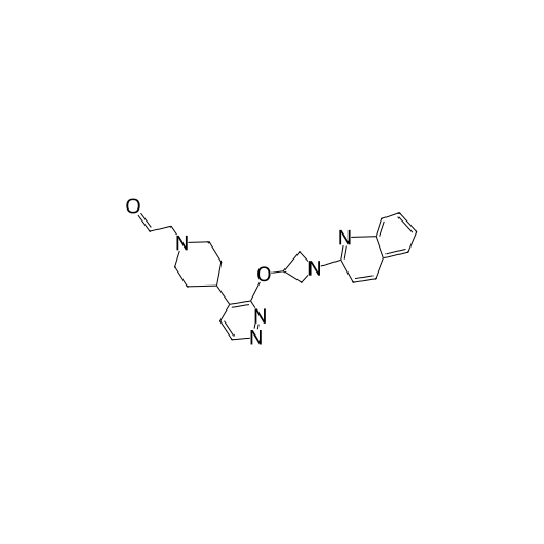 O=CCN1CCC(c2ccnnc2OC2CN(c3ccc4ccccc4n3)C2)CC1